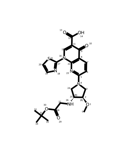 CO[C@@H]1CN(c2ccc3c(=O)c(C(=O)O)cn(-c4nccs4)c3n2)C[C@H]1NCC(=O)OC(C)(C)C